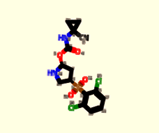 N#CC1(NC(=O)O[C@H]2C[C@@H](S(=O)(=O)c3c(Cl)cccc3Cl)CN2)CC1